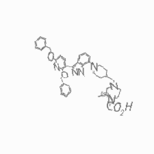 C[C@H]1CN(CC2CCN(c3cccc4c(-c5ccc(OCc6ccccc6)nc5OCc5ccccc5)nn(C)c34)CC2)CCN1C(=O)O